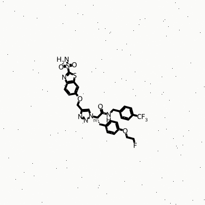 NS(=O)(=O)c1nc2ccc(OCc3cn([C@@H](Cc4ccc(OCCF)cc4)C(=O)NCc4ccc(C(F)(F)F)cc4)nn3)cc2s1